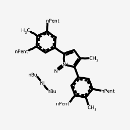 CCCCCc1cc(C2=CC(C)=C(c3cc(CCCCC)c(C)c(CCCCC)c3)[N+]2=[N-])cc(CCCCC)c1C.CCC[CH2][Ni][CH2]CCC